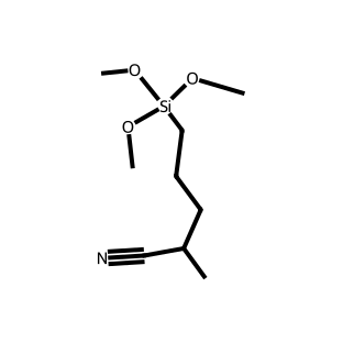 CO[Si](CCCC(C)C#N)(OC)OC